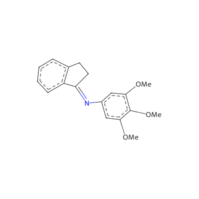 COc1cc(N=C2CCc3ccccc32)cc(OC)c1OC